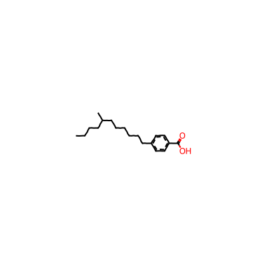 CCCCC(C)CCCCCCc1ccc(C(=O)O)cc1